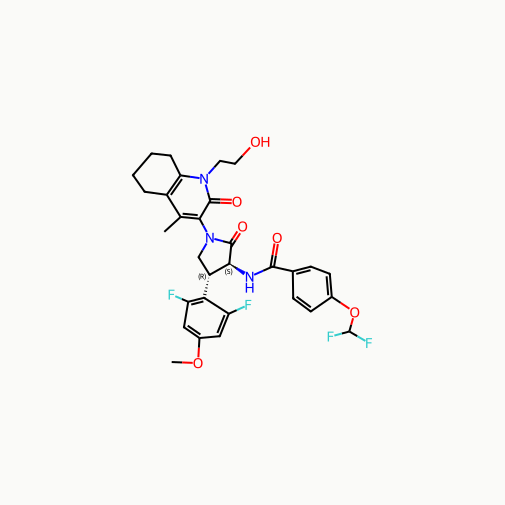 COc1cc(F)c([C@@H]2CN(c3c(C)c4c(n(CCO)c3=O)CCCC4)C(=O)[C@H]2NC(=O)c2ccc(OC(F)F)cc2)c(F)c1